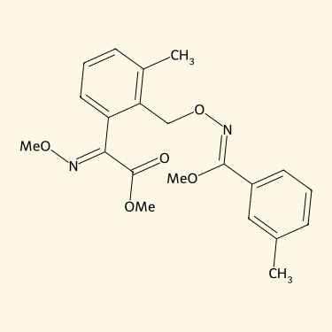 CO/N=C(/C(=O)OC)c1cccc(C)c1CO/N=C(\OC)c1cccc(C)c1